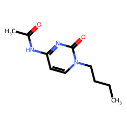 CCCCn1ccc(NC(C)=O)nc1=O